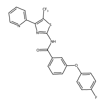 O=C(Nc1nc(-c2ccccn2)c(C(F)(F)F)s1)c1cccc(Oc2ccc(F)cc2)c1